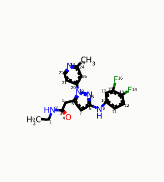 CCNC(=O)Cc1cc(Nc2ccc(F)c(F)c2)nn1-c1ccnc(C)c1